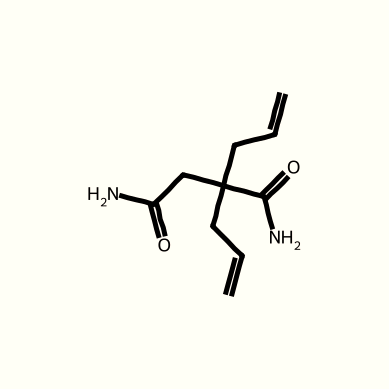 C=CCC(CC=C)(CC(N)=O)C(N)=O